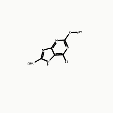 CCCSc1nc(Cl)c2[nH]c(C=O)nc2n1